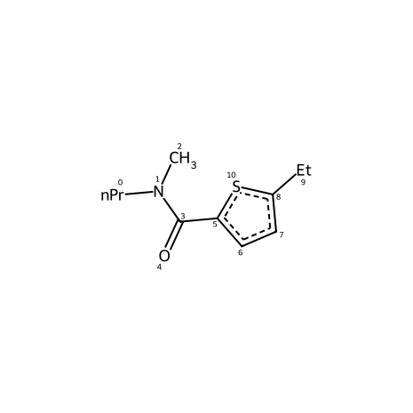 CCCN(C)C(=O)c1ccc(CC)s1